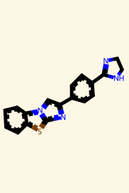 c1ccc2c(c1)sc1nc(-c3ccc(C4=NCCN4)cc3)cn12